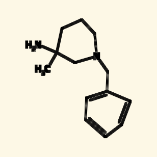 CC1(N)CCCN(Cc2ccccc2)C1